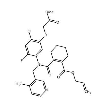 C=CCOC(=O)C1=C(C(=O)N(Cc2cnccc2C)c2cc(OCC(=O)OC)c(Cl)cc2F)CCCC1